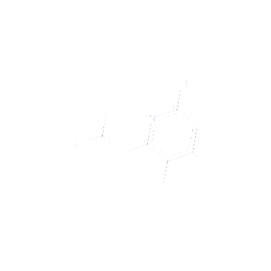 FC(F)Oc1nc(Cl)ccc1Br